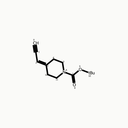 C#CC=C1CCN(C(=O)OC(C)(C)C)CC1